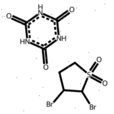 O=S1(=O)CCC(Br)C1Br.O=c1[nH]c(=O)[nH]c(=O)[nH]1